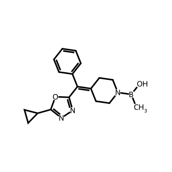 CB(O)N1CCC(=C(c2ccccc2)c2nnc(C3CC3)o2)CC1